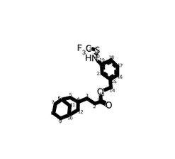 O=C(CCC1CC2CCCC(C2)C1)OCc1cccc(NSC(F)(F)F)c1